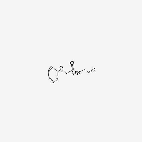 O=[C]CNC(=O)COc1ccccc1